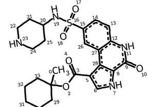 CC1(OC(=O)c2c[nH]c3c(=O)[nH]c4ccc(S(=O)(=O)NC5CCNCC5)cc4c23)CCCCC1